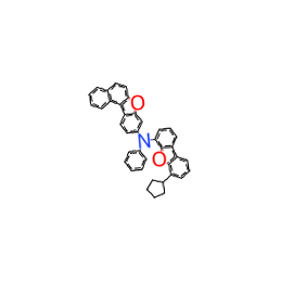 c1ccc(N(c2ccc3c(c2)oc2ccc4ccccc4c23)c2cccc3c2oc2c(C4CCCC4)cccc23)cc1